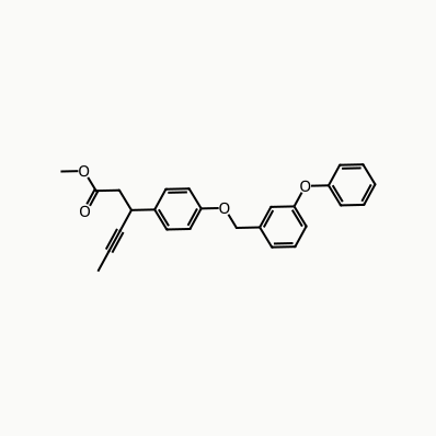 CC#CC(CC(=O)OC)c1ccc(OCc2cccc(Oc3ccccc3)c2)cc1